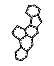 C1=c2ccccc2=c2c1cc1cc3ccccc3c3cccc2c13